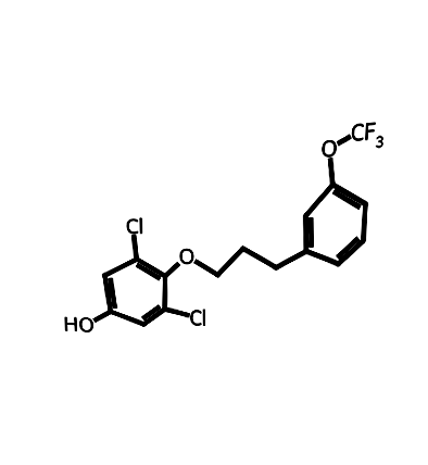 Oc1cc(Cl)c(OCCCc2cccc(OC(F)(F)F)c2)c(Cl)c1